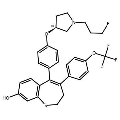 Oc1ccc2c(c1)SCCC(c1ccc(OC(F)(F)F)cc1)=C2c1ccc(O[C@H]2CCN(CCCF)C2)cc1